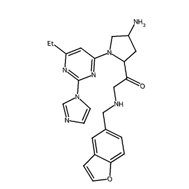 CCc1cc(N2CC(N)CC2C(=O)CNCc2ccc3occc3c2)nc(-n2ccnc2)n1